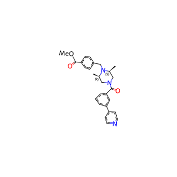 COC(=O)c1ccc(CN2[C@H](C)CN(C(=O)c3cccc(-c4ccncc4)c3)C[C@@H]2C)cc1